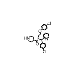 O=C(C1CCNCC1)N(CCOc1ccc(Cl)cc1)C(c1ccc(Cl)cc1)c1ccccn1